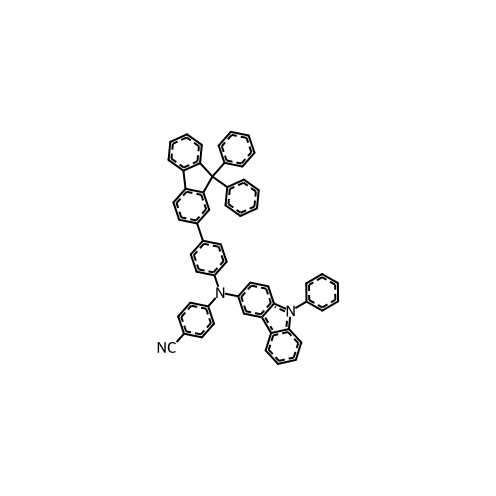 N#Cc1ccc(N(c2ccc(-c3ccc4c(c3)C(c3ccccc3)(c3ccccc3)c3ccccc3-4)cc2)c2ccc3c(c2)c2ccccc2n3-c2ccccc2)cc1